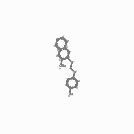 CCC(C)c1ccc(OCOc2cc3ccccc3cc2OC)cc1